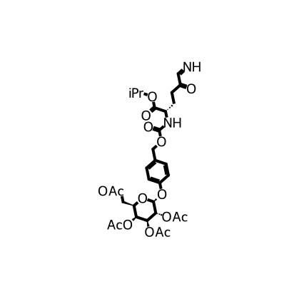 CC(=O)OC[C@H]1O[C@H](Oc2ccc(COC(=O)N[C@@H](CCC(=O)C=N)C(=O)OC(C)C)cc2)[C@H](OC(C)=O)[C@@H](OC(C)=O)[C@H]1OC(C)=O